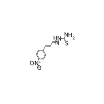 NC(=S)N/N=C/C=C/c1ccc([N+](=O)[O-])cc1